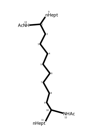 CCCCCCCC(CCCCCCCCC(CCCCCCC)NC(C)=O)NC(C)=O